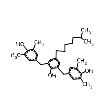 Cc1cc(Cc2cc(CCCCCC(C)C)cc(Cc3cc(C)c(O)c(C)c3)c2O)cc(C)c1O